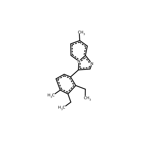 CCc1c(C)ccc(-c2cnc3cc(C)ccn23)c1CC